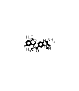 C[C@@H]1OC[C@@H](N(C)C(=O)c2ccc3nc(N)c4cncn4c3c2)c2cc(F)ccc21